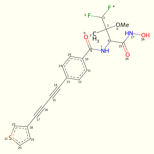 COC(C)(C(F)F)C(NC(=O)c1ccc(C#CC#Cc2ccsc2)cc1)C(=O)NO